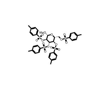 CO[C@@H]1O[C@H](COS(=O)(=O)c2ccc(C)cc2)[C@@H](OS(=O)(=O)c2ccc(C)cc2)[C@H](OS(=O)(=O)c2ccc(C)cc2)[C@H]1OS(=O)(=O)c1ccc(C)cc1